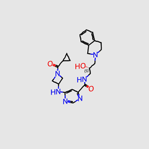 O=C(NC[C@H](O)CN1CCc2ccccc2C1)c1cc(NC2CN(C(=O)C3CC3)C2)ncn1